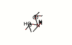 CCCCCCCCCCN(CCCn1cnc(C)c1)C(CCCCCCCCC(=O)OC1CC1(CCCCCC)CCCCCCCC)CCCCCCCCC(O)OCC(CCCCCC)CCCCCCCC